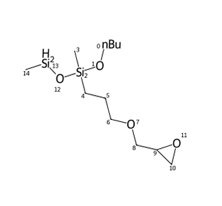 CCCCO[Si](C)(CCCOCC1CO1)O[SiH2]C